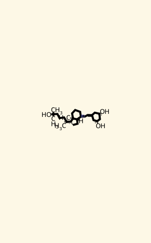 C[C@H](CCCC(C)(C)O)[C@H]1CC[C@H]2/C(=C/C=C3C[C@@H](O)C[C@H](O)C3)CCC[C@]12C